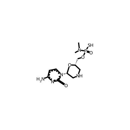 CN(C)P(=O)(S)OC[C@@H]1CNC[C@H](n2ccc(N)nc2=O)O1